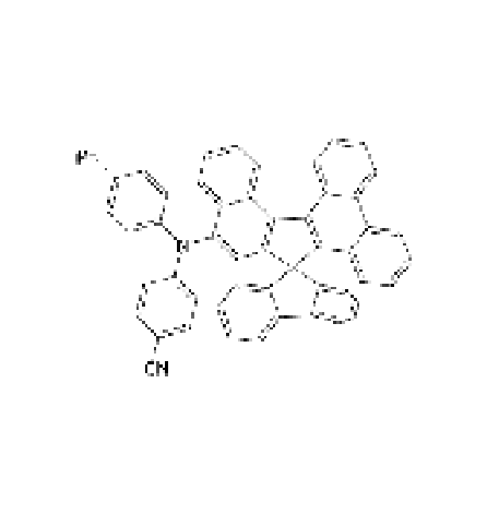 CC(C)c1ccc(N(c2ccc(C#N)cc2)c2cc3c(c4ccccc24)-c2c(c4ccccc4c4ccccc24)C32c3ccccc3-c3ccccc32)cc1